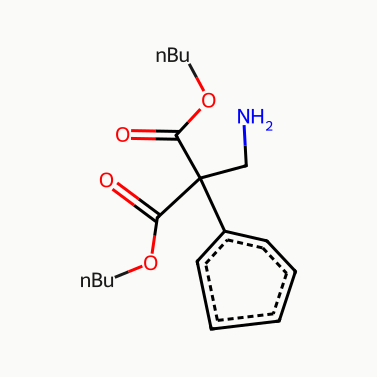 CCCCOC(=O)C(CN)(C(=O)OCCCC)c1ccccc1